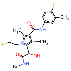 Cc1cc(NC(=O)c2c(C)c(C(O)C(=O)NC(C)(C)C)n(CCF)c2C)ccc1F